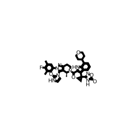 Cc1cc(-n2nc3c(c2-n2cc[nH]c2=O)[C@H](C)N(C(=O)c2[nH]c4c(C5CCOCC5)cccc4c2C2(c4noc(=O)[nH]4)CC2)CC3)cc(C)c1F